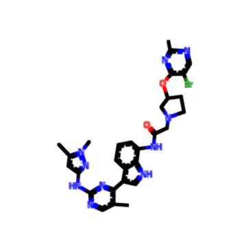 Cc1ncc(Br)c(OC2CCN(CC(=O)Nc3cccc4c(-c5nc(Nc6cc(C)n(C)n6)ncc5C)c[nH]c34)C2)n1